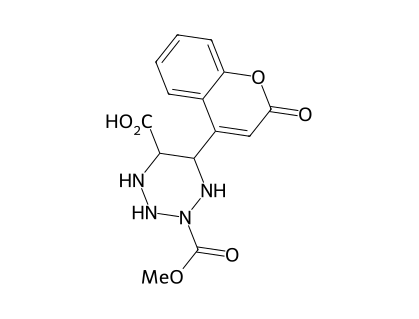 COC(=O)N1NNC(C(=O)O)C(c2cc(=O)oc3ccccc23)N1